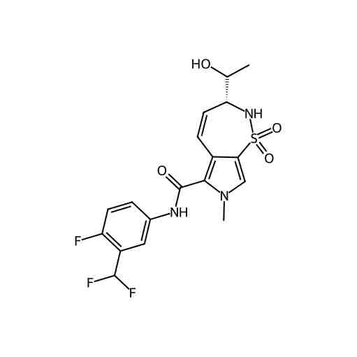 CC(O)[C@H]1C=Cc2c(cn(C)c2C(=O)Nc2ccc(F)c(C(F)F)c2)S(=O)(=O)N1